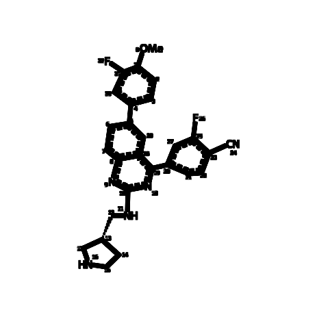 COc1ccc(-c2ccc3nc(NC[C@@H]4CCNC4)nc(-c4ccc(C#N)c(F)c4)c3c2)cc1F